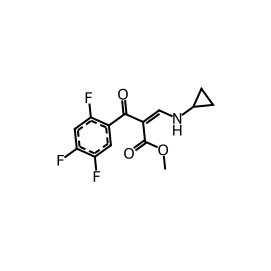 COC(=O)C(=CNC1CC1)C(=O)c1cc(F)c(F)cc1F